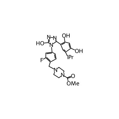 COC(=O)N1CCN(Cc2ccc(-n3c(O)nnc3-c3cc(C(C)C)c(O)cc3O)cc2F)CC1